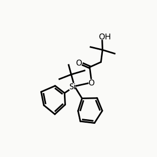 CC(C)(O)CC(=O)O[Si](c1ccccc1)(c1ccccc1)C(C)(C)C